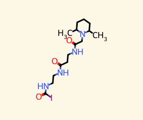 CC1CCCC(C)N1CC(=O)NCCC(=O)NCCNC(=O)I